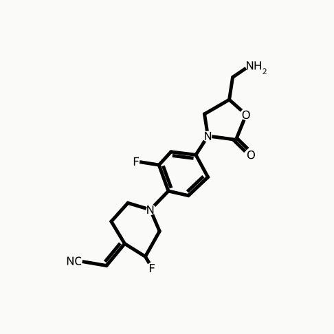 N#CC=C1CCN(c2ccc(N3CC(CN)OC3=O)cc2F)CC1F